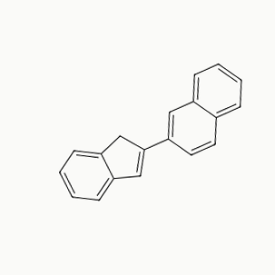 C1=C(c2ccc3ccccc3c2)Cc2ccccc21